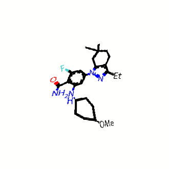 CCc1nn(-c2cc(F)c(C(N)=O)c(N[C@H]3CC[C@H](OC)CC3)c2)c2c1CCC(C)(C)C2